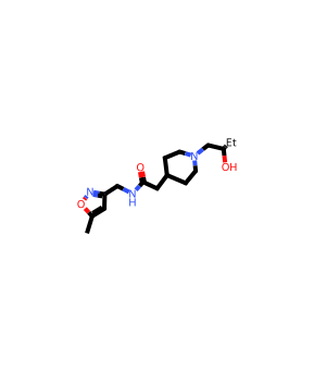 CCC(O)CN1CCC(CC(=O)NCc2cc(C)on2)CC1